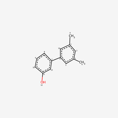 Cc1cc(C)cc(-c2cccc(O)c2)c1